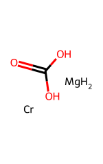 O=C(O)O.[Cr].[MgH2]